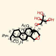 CC(=O)O[C@@H]1C[C@@]23COC[C@@](C)([C@@H]2CC[C@H]2C3=CC[C@@]3(C)[C@H](C(=O)O)[C@@](C)([C@H](C)C(C)C)CC[C@]23C)[C@H]1OCC(O)(CO)CO